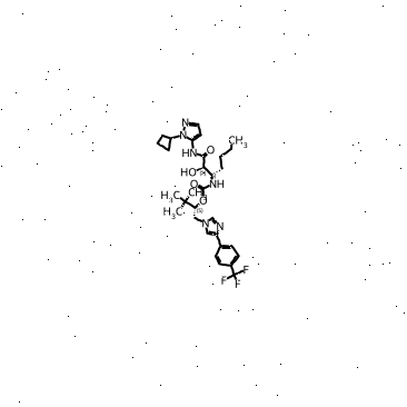 CCCC[C@H](NC(=O)O[C@H](Cn1cnc(-c2ccc(C(F)(F)F)cc2)c1)C(C)(C)C)[C@@H](O)C(=O)Nc1ccnn1C1CCC1